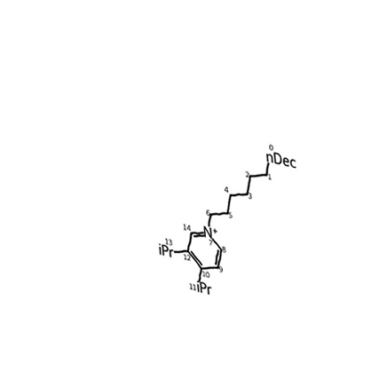 CCCCCCCCCCCCCCCC[n+]1ccc(C(C)C)c(C(C)C)c1